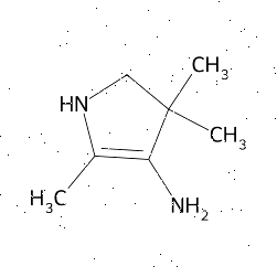 CC1=C(N)C(C)(C)CN1